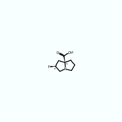 O=C(O)[C@@]12CCCN1C[C@@H](F)C2